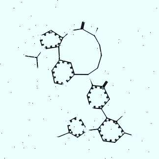 C[C@H]1CCC[C@@H](c2coc(-c3c(-n4cc(Cl)nn4)ccc(Cl)c3F)cc2=O)c2cc(ccn2)-c2c(cnn2C(F)F)NC1=O